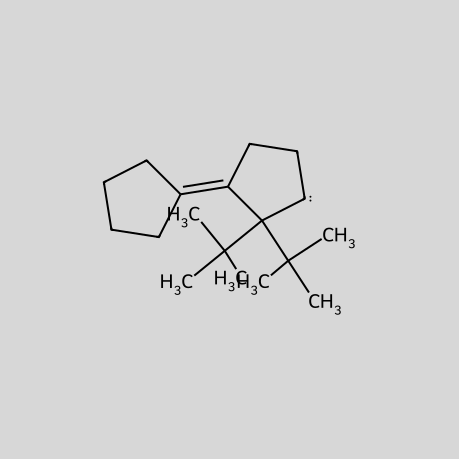 CC(C)(C)C1(C(C)(C)C)[C]CCC1=C1CCCC1